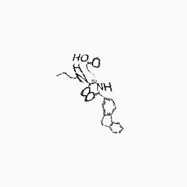 CCCNC(=O)[C@H](CCC(=O)O)NC(=O)c1ccc2c(c1)Cc1ccccc1-2